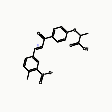 Cc1ccc(/C=C/C(=O)c2ccc(OC(C)C(=O)O)cc2)cc1[N+](=O)[O-]